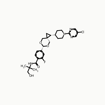 CC(C)(CO)NC(=O)c1ccc([C@H]2OC[C@]3(CO2)C[C@@H]3C2CCN(c3ncc(Cl)cn3)CC2)cc1F